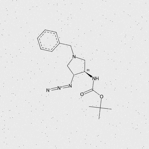 CC(C)(C)OC(=O)N[C@@H]1CN(Cc2ccccc2)CC1N=[N+]=[N-]